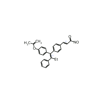 C=C(C)Oc1ccc(/C(=C(/CC)c2ccccc2)c2ccc(/C=C/C(=O)N=O)cc2)cc1